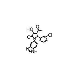 CC(=O)C1=C(O)C(=O)N(c2ccc3[nH]cnc3c2)C1c1cccc(Cl)c1